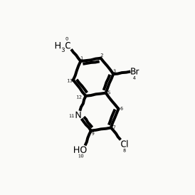 Cc1cc(Br)c2cc(Cl)c(O)nc2c1